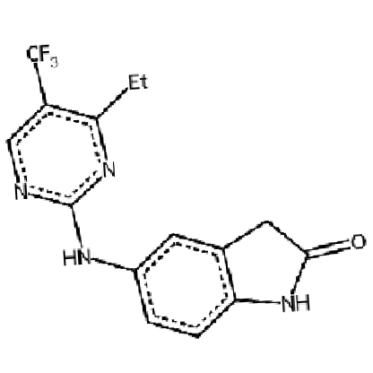 CCc1nc(Nc2ccc3c(c2)CC(=O)N3)ncc1C(F)(F)F